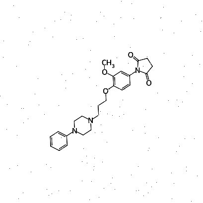 COc1cc(N2C(=O)CCC2=O)ccc1OCCCN1CCN(c2ccccc2)CC1